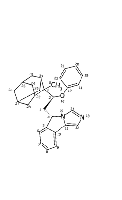 CC1([C@H](C[C@H]2c3ccccc3-c3cncn32)Oc2ccccc2)C2CC3CC(C2)CC1C3